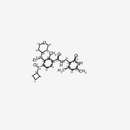 CCN(c1c([S+]([O-])C2CCC2)ccc(C(=O)NCc2c(C)cc(C)[nH]c2=O)c1C)C1CCOCC1